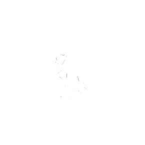 C=C1NC(=O)NC(=O)C12Cc1cc(-c3cnc(OC)cn3)c(F)c(F)c1N1C[C@@H](C)O[C@@H](C)C12